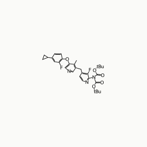 Cc1c(Cc2ccnc(N(C(=O)OC(C)(C)C)C(=O)OC(C)(C)C)c2F)cncc1Oc1ccc(C2CC2)cc1F